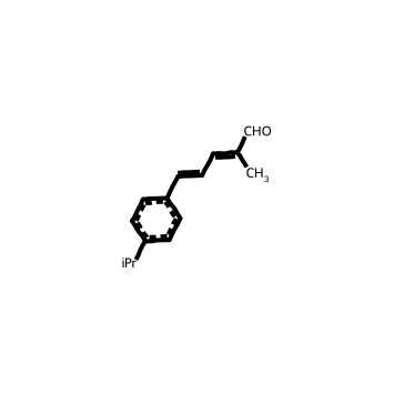 CC(C=O)=CC=Cc1ccc(C(C)C)cc1